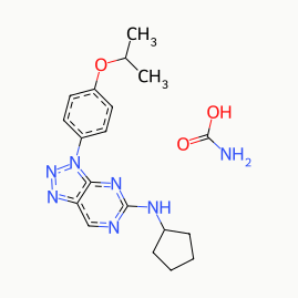 CC(C)Oc1ccc(-n2nnc3cnc(NC4CCCC4)nc32)cc1.NC(=O)O